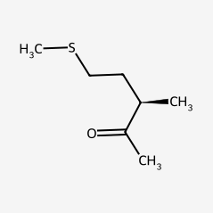 CSCC[C@@H](C)C(C)=O